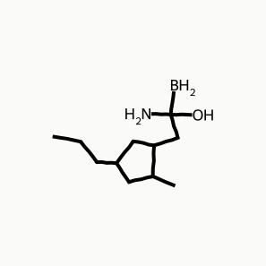 BC(N)(O)CC1CC(CCC)CC1C